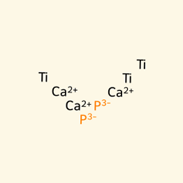 [Ca+2].[Ca+2].[Ca+2].[P-3].[P-3].[Ti].[Ti].[Ti]